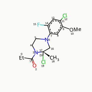 CCC(=O)N1CCN(c2cc(OC)c(Cl)cc2F)C[C@]1(C)Cl